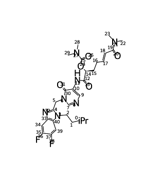 CC(C)CCn1c(Cn2cncc(NC(=O)[C@H](CC/C=C/C(=O)N(C)C)OC(=O)N(C)C)c2=O)nc2cc(F)c(F)cc21